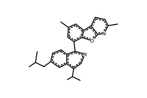 Cc1cc(-c2ncc(C(C)C)c3cc(CC(C)C)ccc23)c2oc3nc(C)ccc3c2c1